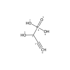 C#CC(O)P(=O)(O)O